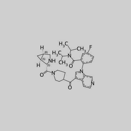 CC(C)N(C(=O)c1cc(F)ccc1-n1cc(C(=O)C2CCN(C(=O)[C@H]3NC[C@@H]4C[C@@H]43)CC2)c2ccncc21)C(C)C